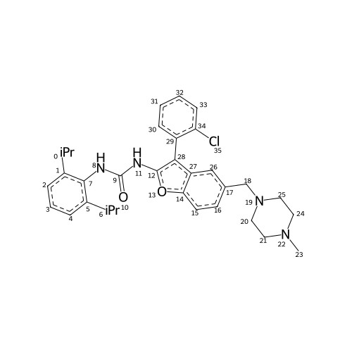 CC(C)c1cccc(C(C)C)c1NC(=O)Nc1oc2ccc(CN3CCN(C)CC3)cc2c1-c1ccccc1Cl